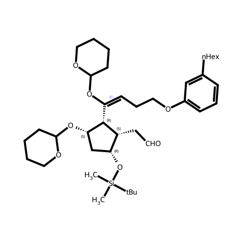 CCCCCCc1cccc(OCC/C=C(/OC2CCCCO2)[C@@H]2[C@H](CC=O)[C@H](O[Si](C)(C)C(C)(C)C)C[C@@H]2OC2CCCCO2)c1